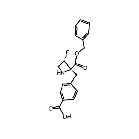 O=C(O)c1ccc(C[C@@]2(C(=O)OCc3ccccc3)NC[C@@H]2F)cc1